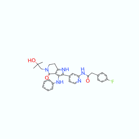 CC(C)(O)CN1CCc2[nH]c(-c3ccnc(NC(=O)Cc4ccc(F)cc4)c3)c(Nc3ccccc3)c2C1=O